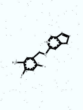 Bc1cc(COc2cc3c(cn2)C=CC3)c(F)cc1F